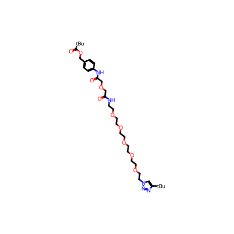 CC(C)(C)C(=O)OCc1ccc(NC(=O)COCC(=O)NCCOCCOCCOCCOCCOCCn2cc(C(C)(C)C)nn2)cc1